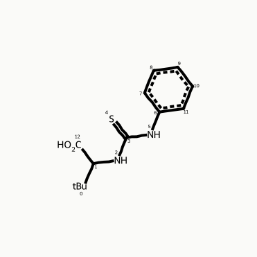 CC(C)(C)C(NC(=S)Nc1ccccc1)C(=O)O